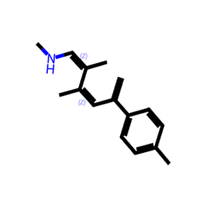 C=C(/C=C(C)\C(C)=C/NC)c1ccc(C)cc1